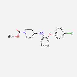 CC(C)(C)OC(=O)N1CCC(Nc2ccccc2Oc2ccc(Cl)cc2)CC1